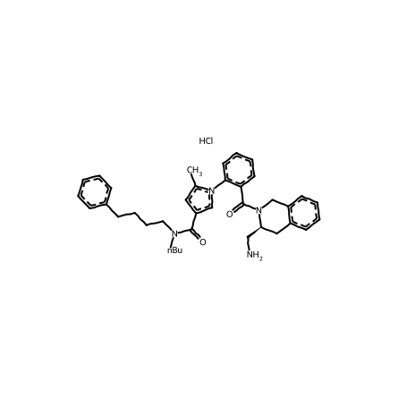 CCCCN(CCCCc1ccccc1)C(=O)c1cc(C)n(-c2ccccc2C(=O)N2Cc3ccccc3C[C@H]2CN)c1.Cl